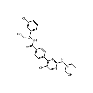 CC[C@@H](CO)Nc1ncc(Cl)c(-c2ccc(C(=O)N[C@H](CO)c3cccc(Cl)c3)cc2)n1